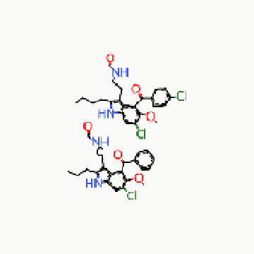 CCCCc1[nH]c2cc(Cl)c(OC)c(C(=O)c3ccc(Cl)cc3)c2c1CCNC=O.CCCc1[nH]c2cc(Cl)c(OC)c(C(=O)c3ccccc3)c2c1CCNC=O